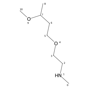 CNCCOCCC(C)OC